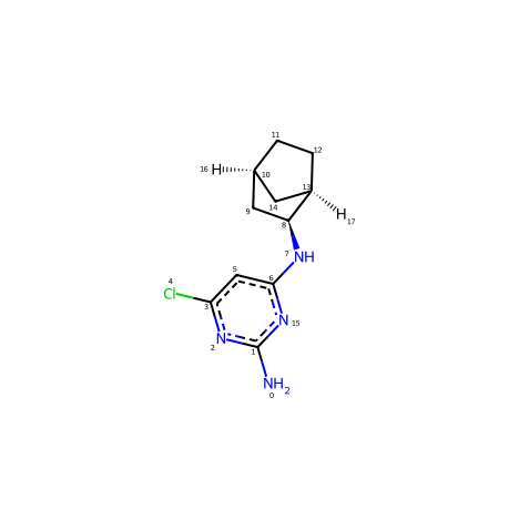 Nc1nc(Cl)cc(N[C@H]2C[C@H]3CC[C@@H]2C3)n1